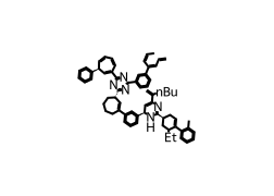 C=C/C=C(\C=C/C)c1cccc(-c2nc(C3=C[C@@H](c4ccccc4)C=CC=C3)nc([C@@H]3C=C(c4cccc([C@H]5C=C(C(=C)CCCC)N=C([C@H]6CC=C(c7ccccc7C)C(CC)C6)N5)c4)CCCC3)n2)c1